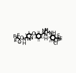 O=C(ONc1ccc(Oc2cccc(-c3nnc(Nc4ccc(Cl)c(C(F)(F)F)c4)[nH]3)c2)nn1)C(F)(F)F